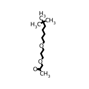 CC(=O)COCCCOCCCCCC(C)(C)C